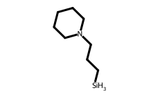 [SiH3]CCCN1CCCCC1